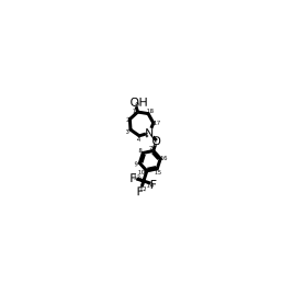 OC1CCCN(Oc2ccc(C(F)(F)F)cc2)CC1